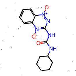 O=C(Nc1n[n+]([O-])c2ccccc2[n+]1[O-])NC1CCCCC1